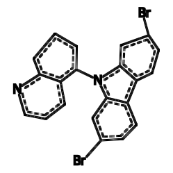 Brc1ccc2c3ccc(Br)cc3n(-c3cccc4ncccc34)c2c1